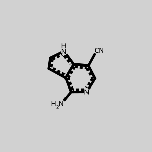 N#Cc1cnc(N)c2cc[nH]c12